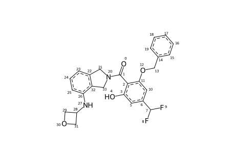 O=C(c1c(O)cc(C(F)F)cc1OCc1ccccc1)N1Cc2cccc(NC3COC3)c2C1